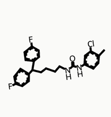 Cc1ccc(NC(=O)NCCCCC(c2ccc(F)cc2)c2ccc(F)cc2)cc1Cl